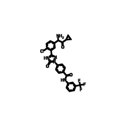 NC(C(=O)C1CC1)c1ccc(Cl)c(-c2nn(-c3ccc(C(=O)Nc4cccc(C(F)(F)F)c4)cc3)c(=O)[nH]2)c1